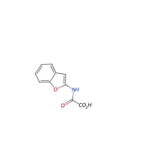 O=C(O)C(=O)Nc1cc2ccccc2o1